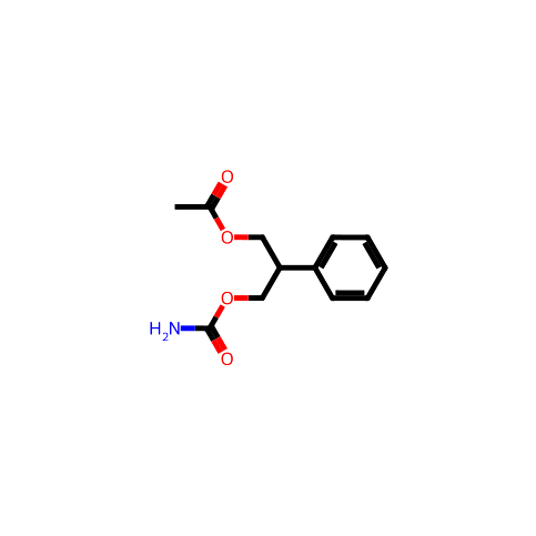 CC(=O)OCC(COC(N)=O)c1ccccc1